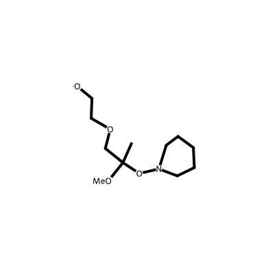 COC(C)(COCC[O])ON1CCCCC1